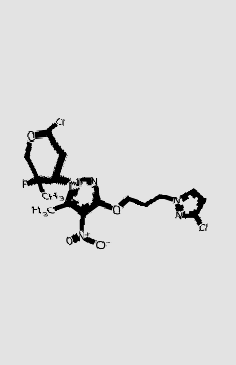 Cc1c([N+](=O)[O-])c(OCCCn2ccc(Cl)n2)nn1C1CC(Cl)OCC1(C)F